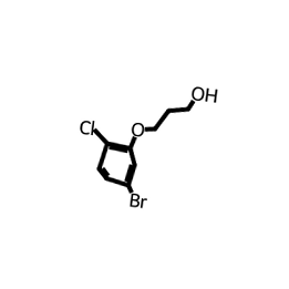 OCCCOc1cc(Br)ccc1Cl